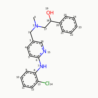 CN(Cc1ccc(Nc2ccccc2Cl)nc1)CC(O)c1ccccc1